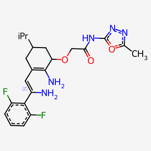 Cc1nnc(NC(=O)COC2CC(C(C)C)CC(/C=C(\N)c3c(F)cccc3F)=C2N)o1